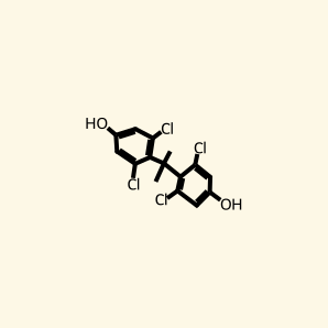 CC(C)(c1c(Cl)cc(O)cc1Cl)c1c(Cl)cc(O)cc1Cl